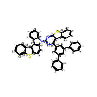 c1ccc(-c2cc(-c3ccccc3)cc(-c3nc(-n4c5ccccc5c5c6c(ccc54)sc4ccccc46)nc4sc5ccccc5c34)c2)cc1